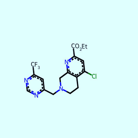 CCOC(=O)c1cc(Cl)c2c(n1)CN(Cc1cc(C(F)(F)F)ncn1)CC2